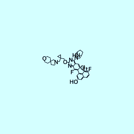 CCc1c(F)ccc2cc(O)cc(-c3c(Cl)cc4c(N5CC6CCC(C5)N6)nc(OCC5(CN6CCC7(CCOCC7)C6)CC5)nc4c3F)c12